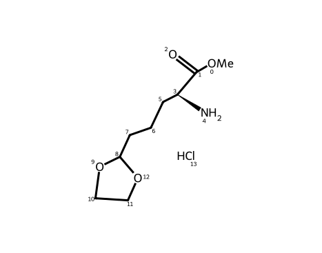 COC(=O)[C@@H](N)CCCC1OCCO1.Cl